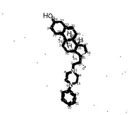 C[C@H](CN1CCN(c2ccccc2)CC1)[C@H]1CC[C@H]2[C@@H]3CC=C4CC(O)CC[C@]4(C)[C@H]3CC[C@]12C